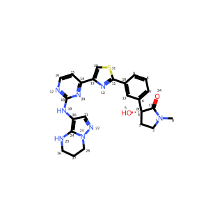 CN1CC[C@@](O)(c2cccc(-c3nc(-c4ccnc(Nc5cnn6c5NCCC6)n4)cs3)c2)C1=O